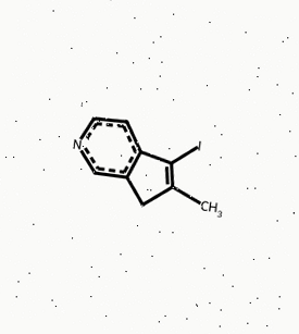 CC1=C(I)c2ccncc2C1